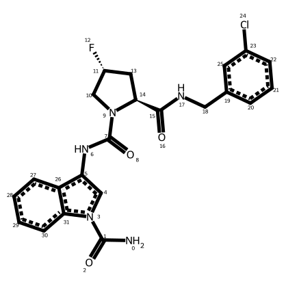 NC(=O)n1cc(NC(=O)N2C[C@H](F)C[C@H]2C(=O)NCc2cccc(Cl)c2)c2ccccc21